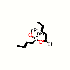 CC=CCC(CC)O[Si](CC=CC)(CCC)OCCC